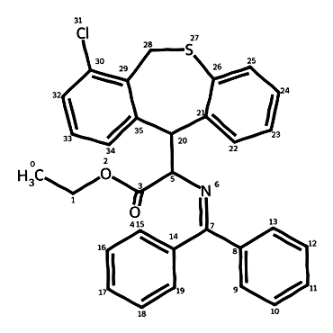 CCOC(=O)C(N=C(c1ccccc1)c1ccccc1)C1c2ccccc2SCc2c(Cl)cccc21